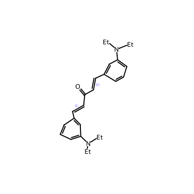 CCN(CC)c1cccc(/C=C/C(=O)/C=C/c2cccc(N(CC)CC)c2)c1